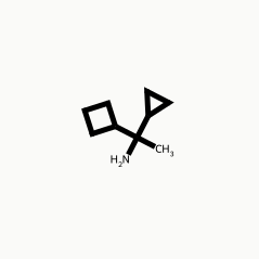 CC(N)(C1CCC1)C1CC1